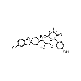 NC(=O)N(OC(=O)C(F)(F)F)c1ccc(O)cc1OC[C@@H](O)CN1CCC2(CC1)Cc1cc(Cl)ccc1O2